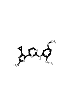 COc1ccc(OC)c(Nc2nccc(-c3sc(N)nc3C3CC3)n2)c1